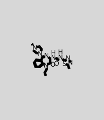 CCCN1C(=O)C(NC(=O)Nc2nnc(C)s2)N=C(N2CCN(C)CC2)c2ccccc21